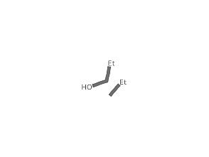 CCC.CCCO